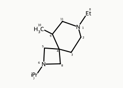 CCN1CCC2(CN(C(C)C)C2)C(C)C1